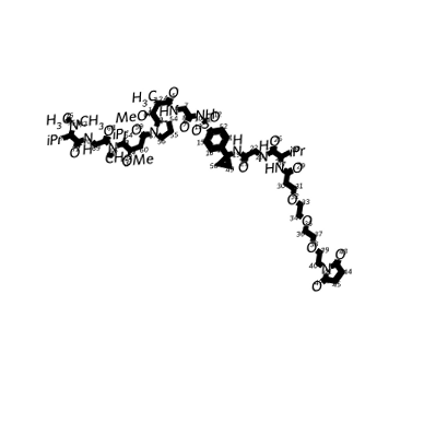 CO[C@H]([C@@H](C)C(=O)NCC(=O)NS(=O)(=O)c1ccc(C2(NC(=O)CNC(=O)C(NC(=O)CCOCCOCCOCCN3C(=O)C=CC3=O)C(C)C)CC2)cc1)[C@@H]1CCCN1C(=O)C[C@@H](OC)[C@H](C(C)C)N(C)C(=O)CNC(=O)C(C(C)C)N(C)C